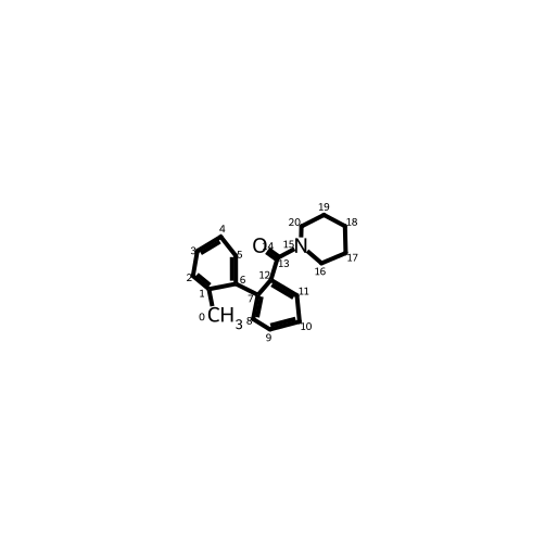 Cc1ccccc1-c1ccccc1C(=O)N1CCCCC1